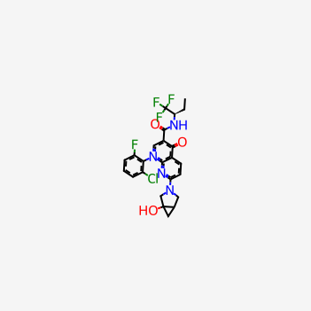 CC[C@@H](NC(=O)c1cn(-c2c(F)cccc2Cl)c2nc(N3CC4CC4(O)C3)ccc2c1=O)C(F)(F)F